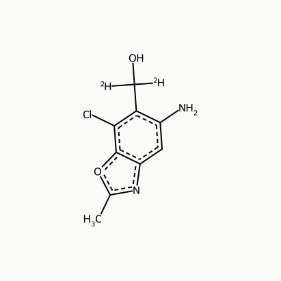 [2H]C([2H])(O)c1c(N)cc2nc(C)oc2c1Cl